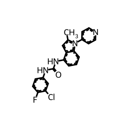 Cc1cc2c(NC(=O)Nc3ccc(F)c(Cl)c3)cccc2n1-c1ccncc1